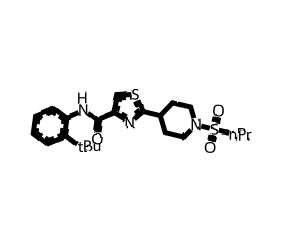 CCCS(=O)(=O)N1CCC(c2nc(C(=O)Nc3ccccc3C(C)(C)C)cs2)CC1